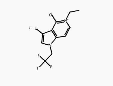 CC[n+]1ccc2c(c(I)cn2CC(F)(F)F)c1Cl.[I-]